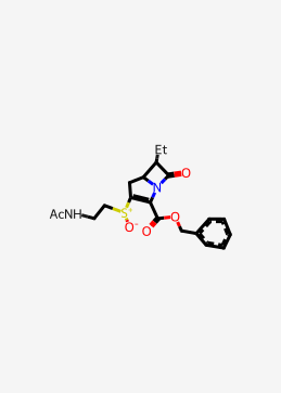 CCC1C(=O)N2C(C(=O)OCc3ccccc3)=C([S+]([O-])CCNC(C)=O)CC12